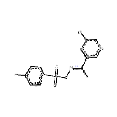 C/C(=N\OS(=O)(=O)c1ccc(C)cc1)c1cncc(Cl)c1